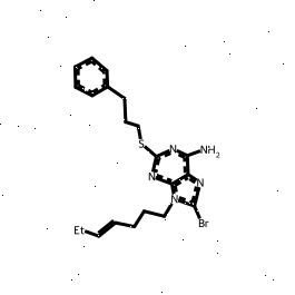 CCC=CCCCn1c(Br)nc2c(N)nc(SCCCc3ccccc3)nc21